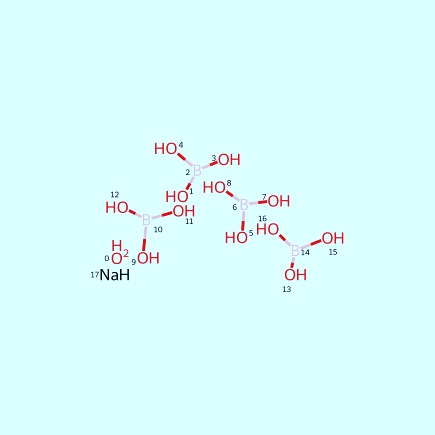 O.OB(O)O.OB(O)O.OB(O)O.OB(O)O.[NaH]